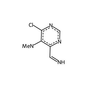 CNc1c(Cl)ncnc1C=N